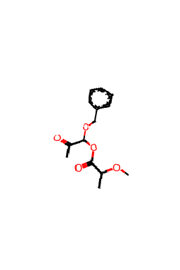 COC(C)C(=O)OC(OCc1ccccc1)C(C)=O